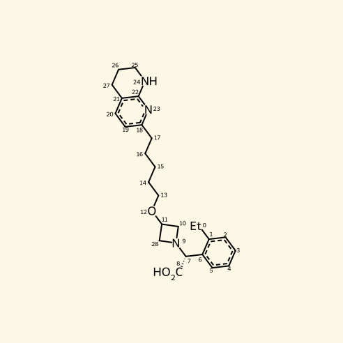 CCc1ccccc1[C@H](C(=O)O)N1CC(OCCCCCc2ccc3c(n2)NCCC3)C1